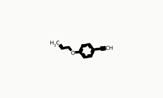 C#Cc1ccc(OCC=C)cc1